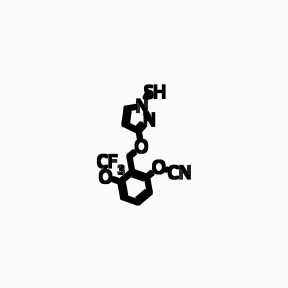 N#COc1cccc(OC(F)(F)F)c1COc1ccn(S)n1